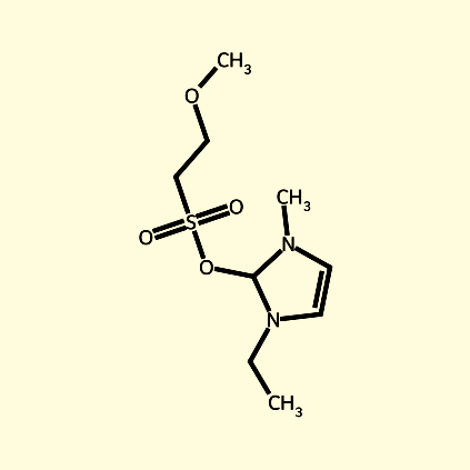 CCN1C=CN(C)C1OS(=O)(=O)CCOC